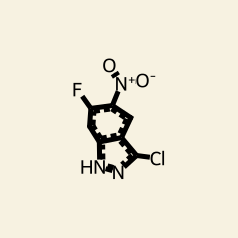 O=[N+]([O-])c1cc2c(Cl)n[nH]c2cc1F